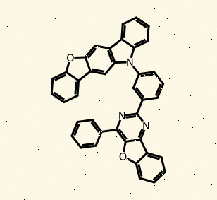 c1ccc(-c2nc(-c3cccc(-n4c5ccccc5c5cc6oc7ccccc7c6cc54)c3)nc3c2oc2ccccc23)cc1